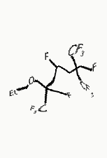 CCOC(F)(C(F)C(F)(C(F)(F)F)C(F)(F)F)C(F)(F)F